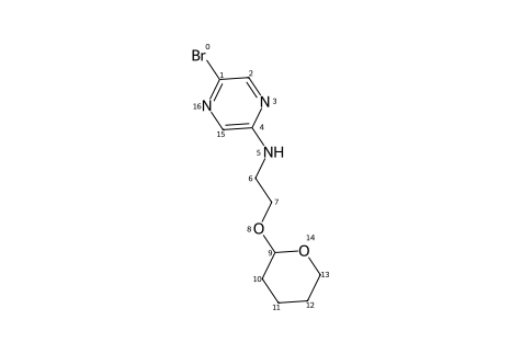 Brc1cnc(NCCOC2CCCCO2)cn1